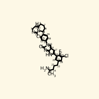 CC1=NCC[C@@H]2CCC[C@@H](c3ccc(-n4cc5cc(-c6cc(CCC[C@H](C)N)cc(Cl)c6F)[nH]c5nc4=O)cc3)N12